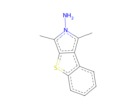 Cc1c2sc3ccccc3c2c(C)n1N